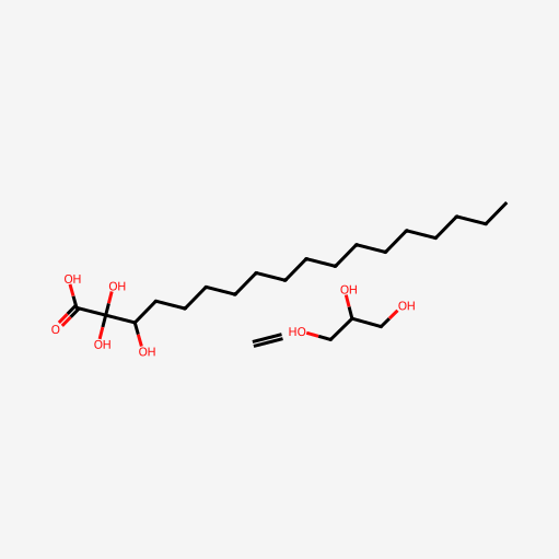 C=C.CCCCCCCCCCCCCCCC(O)C(O)(O)C(=O)O.OCC(O)CO